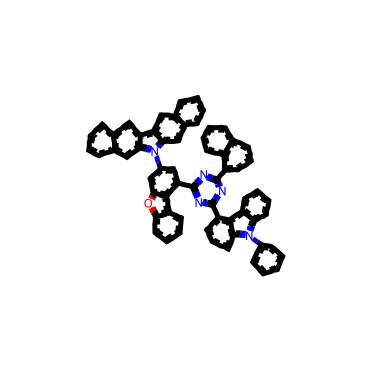 c1ccc(-n2c3ccccc3c3c(-c4nc(-c5cccc6ccccc56)nc(-c5cc(-n6c7cc8ccccc8cc7c7cc8ccccc8cc76)cc6oc7ccccc7c56)n4)cccc32)cc1